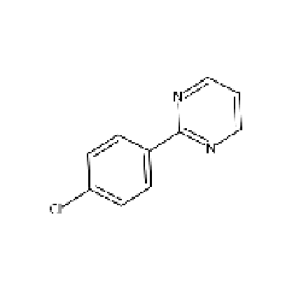 Clc1ccc(-c2ncccn2)cc1